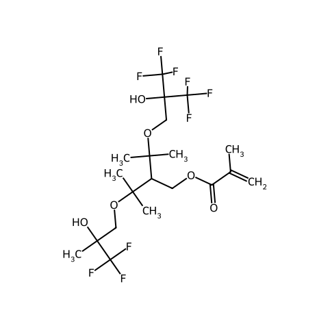 C=C(C)C(=O)OCC(C(C)(C)OCC(C)(O)C(F)(F)F)C(C)(C)OCC(O)(C(F)(F)F)C(F)(F)F